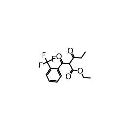 CCOC(=O)C(C(=O)CC)C(=O)c1ccccc1C(F)(F)F